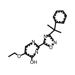 CCOc1cnc(-c2nc(C(C)(C)c3ccccc3)no2)nc1O